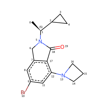 C[C@@H](C1CC1)N1Cc2cc(Br)cc(N3CCC3)c2C1=O